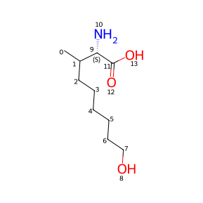 CC(CCCCCCO)[C@H](N)C(=O)O